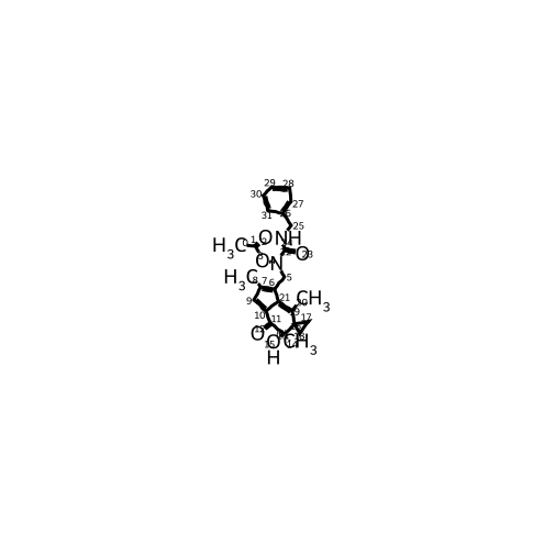 CC(=O)ON(CC1=C(C)C=C2C(=O)[C@](C)(O)C3(CC3)C(C)=C21)C(=O)NCc1ccccc1